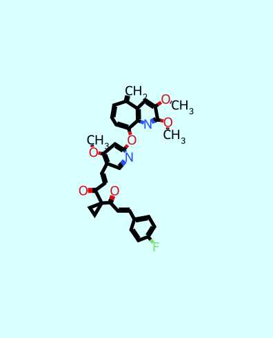 C=C1C=CC=C(Oc2cc(OC)c(/C=C/C(=O)C3(C(=O)/C=C/c4ccc(F)cc4)CC3)cn2)c2nc(OC)c(OC)cc21